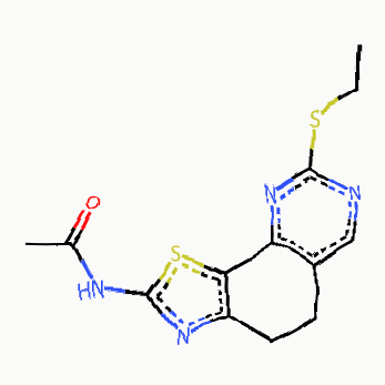 CCSc1ncc2c(n1)-c1sc(NC(C)=O)nc1CC2